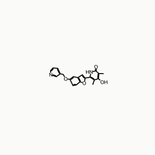 Cc1c(-c2cc3cc(OCc4cccnc4)ccc3o2)[nH]c(=O)c(C)c1O